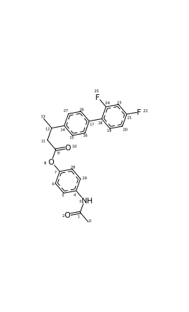 CC(=O)Nc1ccc(OC(=O)CC(C)c2ccc(-c3ccc(F)cc3F)cc2)cc1